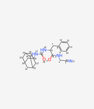 N#CCNC(=O)C(Cc1ccccc1)NC(=O)NC12CC3CC(CC(C3)C1)C2